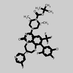 C[C@@H]1CN(c2nc(=O)n3c4c(c(-c5cc(Cl)c(F)cc5F)c(C(F)(F)F)cc24)SC[C@@H](c2cncc(F)c2)C3)C[C@H](C)N1C(=O)OC(C)(C)C